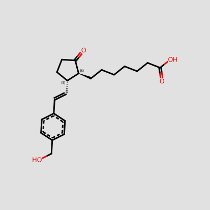 O=C(O)CCCCCC[C@@H]1C(=O)CC[C@H]1C=Cc1ccc(CO)cc1